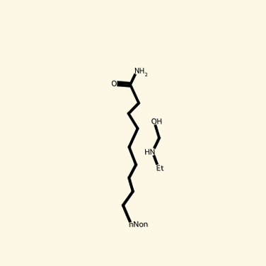 CCCCCCCCCCCCCCCCCC(N)=O.CCNCO